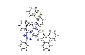 c1ccc(-c2nc(-c3ccccc3)nc(-c3cc(-c4ccccc4-c4ccccc4)ccc3-n3c4ccccc4c4c5c(ccc43)sc3ccccc35)n2)cc1